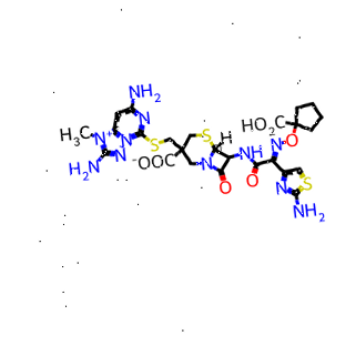 C[n+]1c(N)nn2c(SCC3(C(=O)[O-])CS[C@@H]4C(NC(=O)C(=NOC5(C(=O)O)CCCC5)c5csc(N)n5)C(=O)N4C3)nc(N)cc21